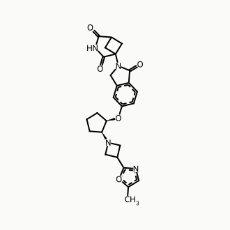 Cc1cnc(C2CN([C@H]3CCC[C@H]3Oc3ccc4c(c3)CN(C35CC(C3)C(=O)NC5=O)C4=O)C2)o1